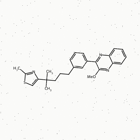 COc1nc2ccccc2nc1-c1cccc(CCCC(C)(C)c2csc(C)n2)c1